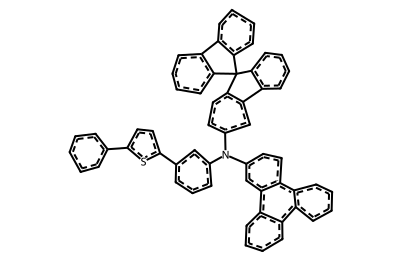 c1ccc(-c2ccc(-c3cccc(N(c4ccc5c(c4)-c4ccccc4C54c5ccccc5-c5ccccc54)c4ccc5c6ccccc6c6ccccc6c5c4)c3)s2)cc1